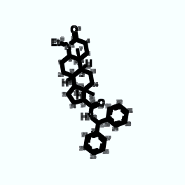 CCN1C(=O)CC[C@@]2(C)C1CC[C@@H]1[C@H]2CC[C@]2(C)C(C(=O)NC(c3ccccc3)c3ccccc3)CC[C@@H]12